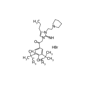 Br.CCCc1cn(CC(=O)c2cc(C(C)(C)C)c(O)c(C(C)(C)C)c2)c(=N)n1CCN1CCCCC1